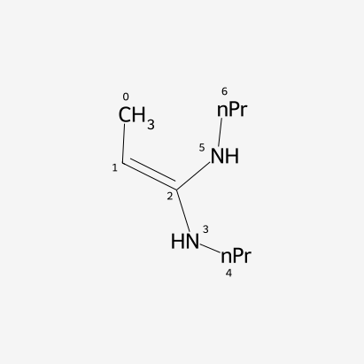 CC=C(NCCC)NCCC